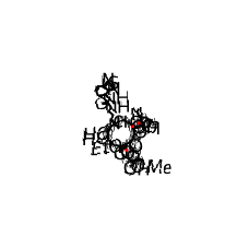 CC[C@H]1OC(=O)[C@H](C)[C@@H](O[C@H]2C[C@@](C)(OC)[C@@H](O)[C@H](C)O2)[C@H](C)[C@@H](O[C@@H]2O[C@H](C)C[C@H](N(C)C)[C@H]2O)[C@](C)(O)C[C@@H](C)CN(CCCNC(=O)Nc2cccc3nsnc23)[C@H](C)[C@@H](O)[C@]1(C)O